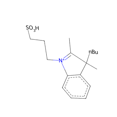 CCCCC1(C)C(C)=[N+](CCCS(=O)(=O)O)c2ccccc21